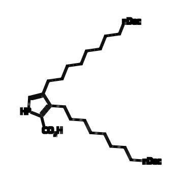 CCCCCCCCCCCCCCCCCCc1c[pH]c(C(=O)O)c1CCCCCCCCCCCCCCCCCC